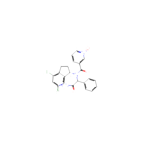 NC(=O)C(c1ccccc1)N(C(=O)c1ccc[n+]([O-])c1)[C@@H]1CCc2c(F)cc(Cl)cc21